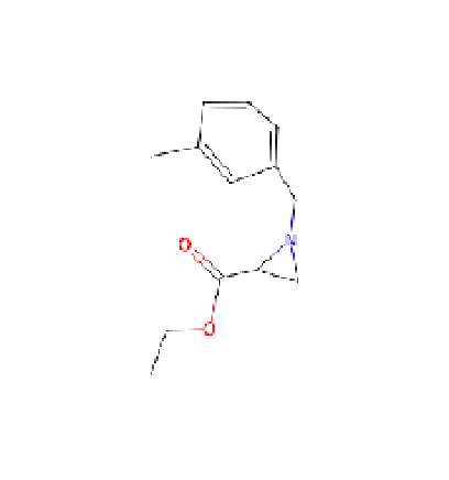 CCOC(=O)C1CN1Cc1cccc(C)c1